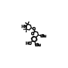 CC1(C)CC(OC(=O)CC(c2ccc(O)c(C(C)(C)C)c2)C(C)(C)C)CC(C)(C)N1